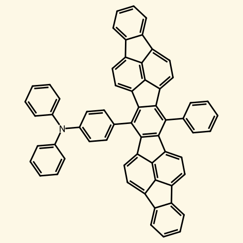 c1ccc(-c2c3c4ccc5c6c(ccc(c3c(-c3ccc(N(c7ccccc7)c7ccccc7)cc3)c3c7ccc8c9c(ccc(c23)c97)-c2ccccc2-8)c64)-c2ccccc2-5)cc1